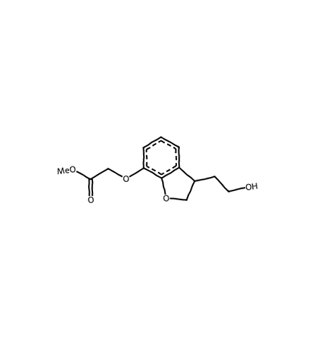 COC(=O)COc1cccc2c1OCC2CCO